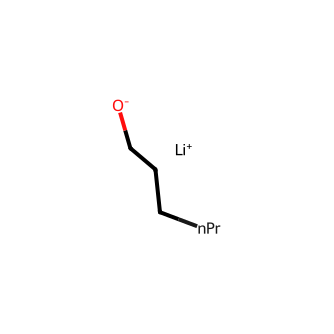 CCCCCC[O-].[Li+]